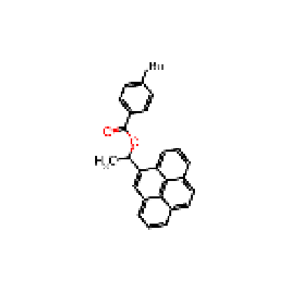 CCC(C)c1ccc(C(=O)OC(C)c2cc3cccc4ccc5cccc2c5c43)cc1